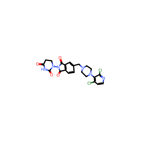 O=C1CCN(N2C(=O)c3ccc(CN4CCN(c5c(Cl)ccnc5Cl)CC4)cc3C2=O)C(=O)N1